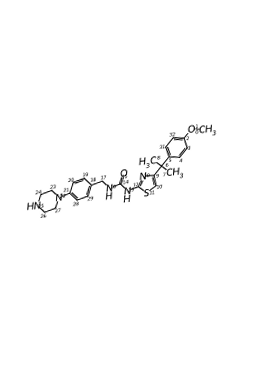 COc1ccc(C(C)(C)c2csc(NC(=O)NCc3ccc(N4CCNCC4)cc3)n2)cc1